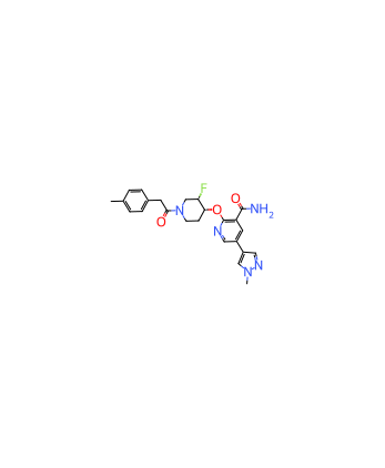 Cc1ccc(CC(=O)N2CC[C@H](Oc3ncc(-c4cnn(C)c4)cc3C(N)=O)[C@H](F)C2)cc1